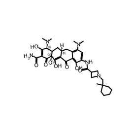 CN(C)c1cc(NC(=O)C2CN(CC3(C)CCCCC3)C2)c(O)c2c1C[C@H]1CC3[C@H](N(C)C)C(O)=C(C(N)=O)C(=O)[C@@]3(O)C(O)=C1C2=O